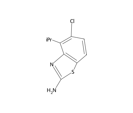 CC(C)c1c(Cl)ccc2sc(N)nc12